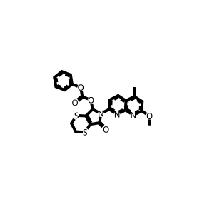 COc1cc(C)c2ccc(N3C(=O)C4=C(SCCS4)C3OC(=O)Oc3ccccc3)nc2n1